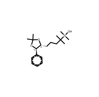 CC1(C)O[C@H](c2ccccc2)[C@@H](CCCC(C)(C)[Si](C)(C)O)O1